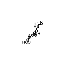 O=S(=O)(Nc1ccc(CCNCC(O)c2cccnc2)cc1)c1ccc(-c2nc(-c3ccc(O)c(O)c3)cs2)cc1